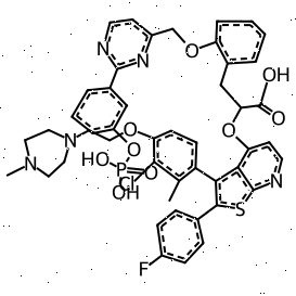 Cc1c(-c2c(-c3ccc(F)cc3)sc3nccc(OC(Cc4ccccc4OCc4ccnc(-c5cccc(OP(=O)(O)O)c5)n4)C(=O)O)c23)ccc(OCCN2CCN(C)CC2)c1Cl